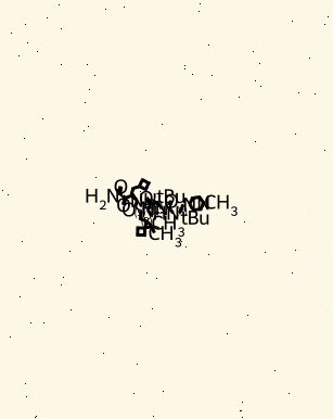 CN1CCN(C[C@H](NC(=O)N[C@H](C(=O)N2C[C@]3(C[C@H]2C(=O)NC(CC2CCC2)C(=O)C(N)=O)C(C)(C)C32CCC2)C(C)(C)C)C(C)(C)C)CC1